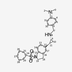 CN(C)c1ccc(CN[C@@H]2C[C@H]2c2ccc3c(c2)CCN3S(=O)(=O)c2ccccc2)cc1